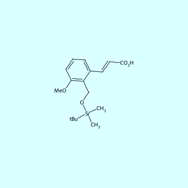 COc1cccc(/C=C/C(=O)O)c1CO[Si](C)(C)C(C)(C)C